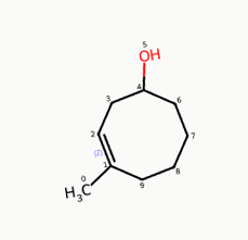 C/C1=C/CC(O)CCCC1